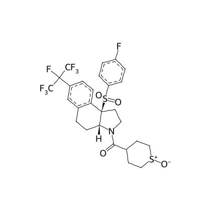 O=C(C1CC[S+]([O-])CC1)N1CC[C@@]2(S(=O)(=O)c3ccc(F)cc3)c3ccc(C(F)(C(F)(F)F)C(F)(F)F)cc3CC[C@@H]12